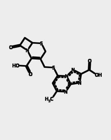 Cc1cc(SCC2=C(C(=O)O)N3C(=O)CC3SC2)n2nc(C(=O)O)nc2n1